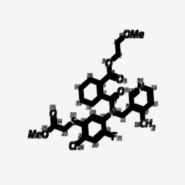 COCCOC(=O)C1=C(C(=O)N(Cc2cnccc2C)c2cc(SCC(=O)OC)c(Cl)cc2F)CCCC1